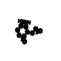 N=C1C(=N)c2ccc(-c3cccc(-c4cccc(-c5cccc6c5sc5ccccc56)c4)c3)cc2-c2cc(-c3cccc(-c4cccc(-c5cccc6c5sc5ccccc56)c4)c3)ccc21